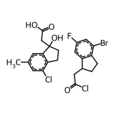 Cc1cc(Cl)c2c(c1)C(O)(CC(=O)O)CC2.O=C(Cl)CC1CCc2c(Br)cc(F)cc21